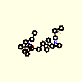 c1ccc(-c2cc(-c3cccc(-c4cccc5c4-c4ccccc4C54c5ccccc5-c5c4ccc4c6ccccc6n(-c6ccc(-c7cccc8c7sc7ccccc78)cc6)c54)c3)cc(-n3c4ccc(-c5ccccc5)cc4c4ccc5c(c43)C3(c4ccccc4-c4ccccc43)c3ccccc3-5)c2)cc1